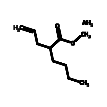 C=CCC(CCCC)C(=O)OC.[AlH3]